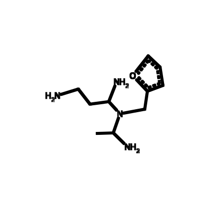 CC(N)N(Cc1ccco1)C(N)CCN